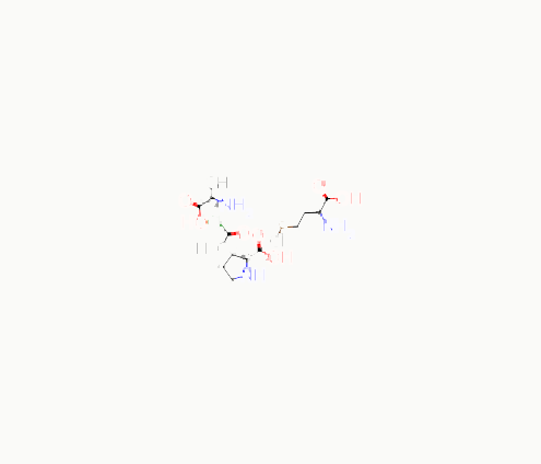 CC(=O)Cl.CSCC[C@H](N)C(=O)O.C[C@H](N)C(=O)O.O=C(O)[C@@H]1CCCN1